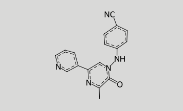 Cc1nc(-c2cccnc2)cn(Nc2ccc(C#N)cc2)c1=O